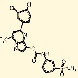 CS(=O)(=O)c1cccc(NC(=O)Oc2cnn3c(C(F)(F)F)cc(-c4ccc(Cl)c(Cl)c4)nc23)c1